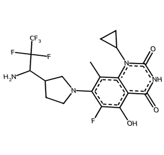 Cc1c(N2CCC(C(N)C(F)(F)C(F)(F)F)C2)c(F)c(O)c2c(=O)[nH]c(=O)n(C3CC3)c12